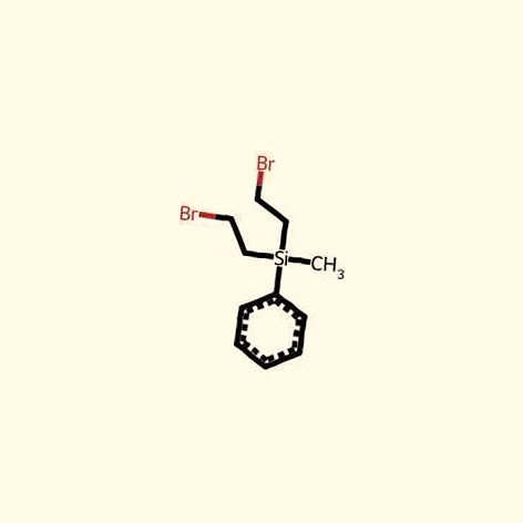 C[Si](CCBr)(CCBr)c1ccccc1